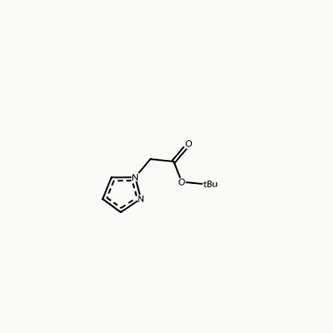 CC(C)(C)OC(=O)Cn1cccn1